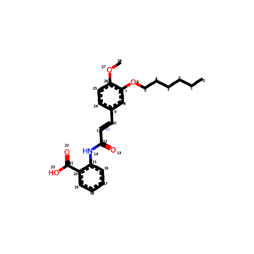 CCCCCCOc1cc(/C=C/C(=O)Nc2ccccc2C(=O)O)ccc1OC